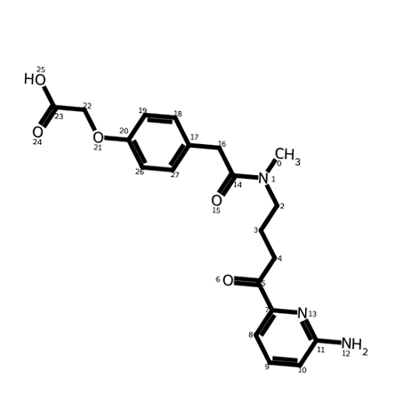 CN(CCCC(=O)c1cccc(N)n1)C(=O)Cc1ccc(OCC(=O)O)cc1